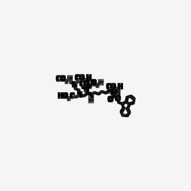 O=C(O)CN(CCN(CC(=O)O)CC(NCCCC[C@H](NC(=O)OCC1c2ccccc2-c2ccccc21)C(=O)O)N(CC(=O)O)CC(=O)O)CC(=O)O